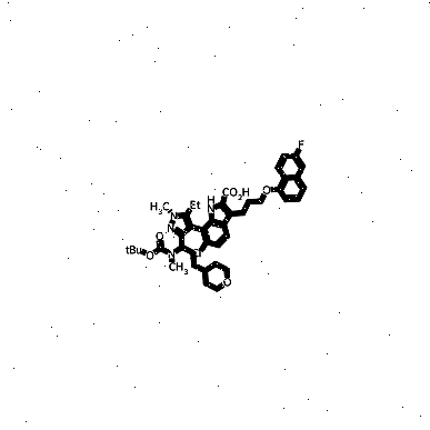 CCc1c(-c2c(Cl)ccc3c(CCCOc4cccc5cc(F)ccc45)c(C(=O)O)[nH]c23)c(C(CCC2CCOCC2)N(C)C(=O)OC(C)(C)C)nn1C